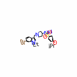 CCn1cc(CN2CCC(NS(=O)(=O)c3ccc(OC(C)C)cc3)CC2)c2ccc(Br)cc21